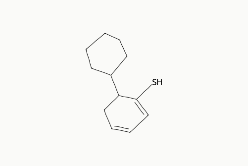 SC1=CC=CCC1C1CCCCC1